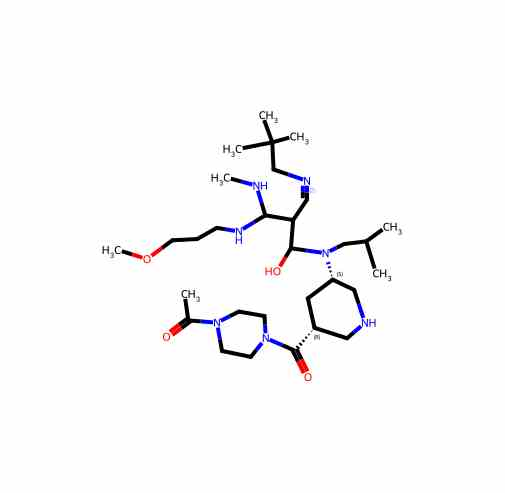 CNC(NCCCOC)C(/C=N\CC(C)(C)C)C(O)N(CC(C)C)[C@@H]1CNC[C@H](C(=O)N2CCN(C(C)=O)CC2)C1